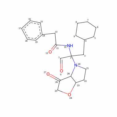 O=CC(CC1CCCCC1)(NC(=O)Cc1ccccc1)N1CCC2OCC(=O)C21